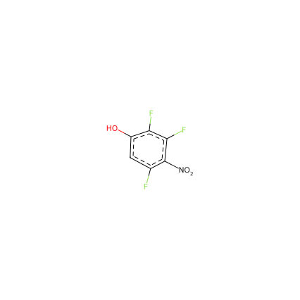 O=[N+]([O-])c1c(F)cc(O)c(F)c1F